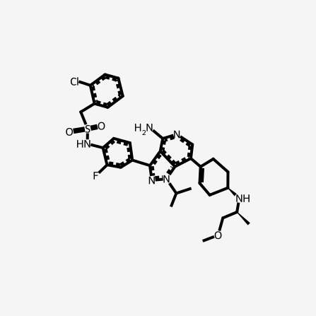 COC[C@H](C)N[C@H]1CC=C(c2cnc(N)c3c(-c4ccc(NS(=O)(=O)Cc5ccccc5Cl)c(F)c4)nn(C(C)C)c23)CC1